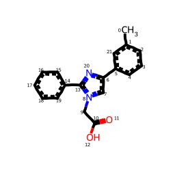 Cc1cccc(-c2cn(CC(=O)O)c(-c3ccccc3)n2)c1